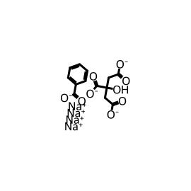 O=C([O-])CC(O)(CC(=O)[O-])C(=O)[O-].O=C([O-])c1ccccc1.[Na+].[Na+].[Na+].[Na+]